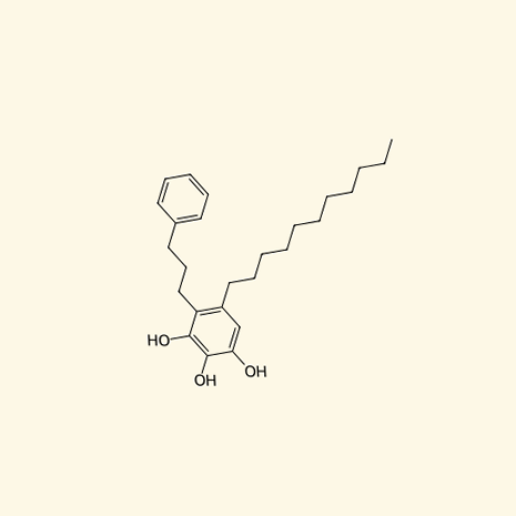 CCCCCCCCCCCc1cc(O)c(O)c(O)c1CCCc1ccccc1